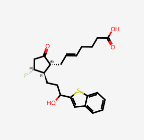 O=C(O)CCCC=CC[C@H]1C(=O)C[C@@H](F)[C@@H]1CCC(O)c1cc2ccccc2s1